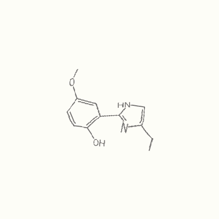 CCc1c[nH]c(-c2cc(OC)ccc2O)n1